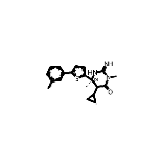 Cc1cccc(-c2ccc([C@@]3(C)NC(=N)N(C)C(=O)C3C3CC3)s2)c1